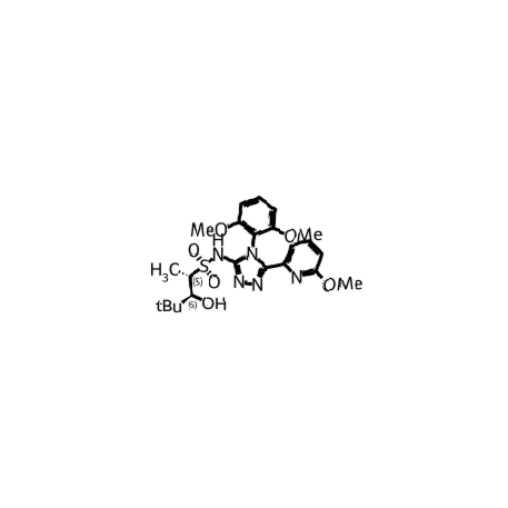 COc1cccc(-c2nnc(NS(=O)(=O)[C@@H](C)[C@@H](O)C(C)(C)C)n2-c2c(OC)cccc2OC)n1